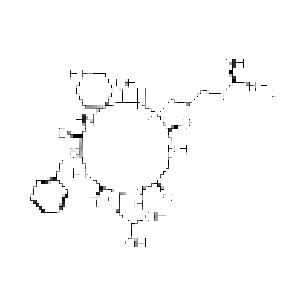 N=C(N)NCCC[C@@H]1NC(O)C2(CCNCC2)NC(=O)[C@@H](Cc2ccccc2)NC(=O)[C@H](CC(O)O)NC(=O)CNC1=O